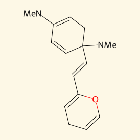 CNC1=CCC(C=CC2=CCC=CO2)(NC)C=C1